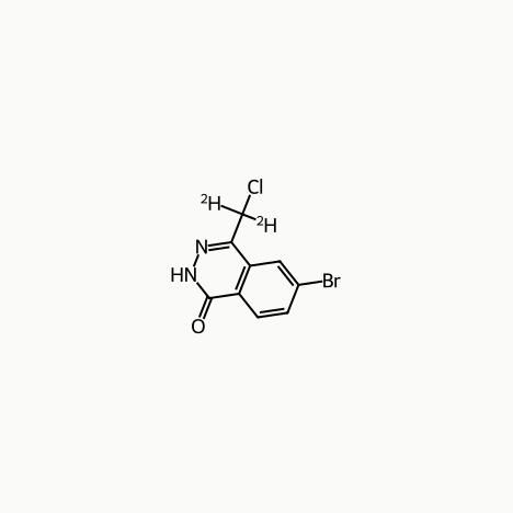 [2H]C([2H])(Cl)c1n[nH]c(=O)c2ccc(Br)cc12